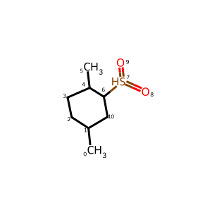 CC1CCC(C)C([SH](=O)=O)C1